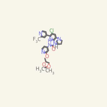 CC1(C)OCC(COc2cc(NC(=O)N3c4nc(-c5ccnc(C(F)(F)F)c5)c(Cl)cc4N4CC[C@H]3C4)ccn2)O1